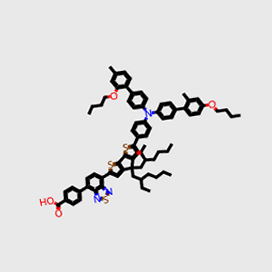 CCCCOc1ccc(-c2ccc(N(c3ccc(-c4cc5c(s4)-c4sc(-c6ccc(-c7ccc(C(=O)O)cc7)c7nsnc67)cc4C5(CC(CC)CCCC)CC(CC)CCCC)cc3)c3ccc(-c4ccc(C)cc4OCCCC)cc3)cc2)c(C)c1